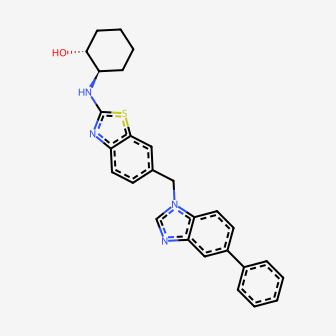 O[C@@H]1CCCC[C@H]1Nc1nc2ccc(Cn3cnc4cc(-c5ccccc5)ccc43)cc2s1